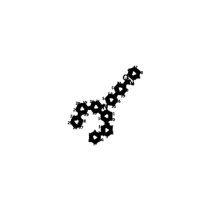 c1ccc(-c2cccc(-c3ccc4c(c3)c3cc(-c5cccc(-c6ccccc6)c5)ccc3n4-c3ccc(-c4ccc(-c5nc6ccccc6o5)cc4)cc3)c2)cc1